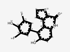 O=c1[nH]c2ccc(O)c(-c3cc(F)c(O)c(F)c3)c2c2ccsc12